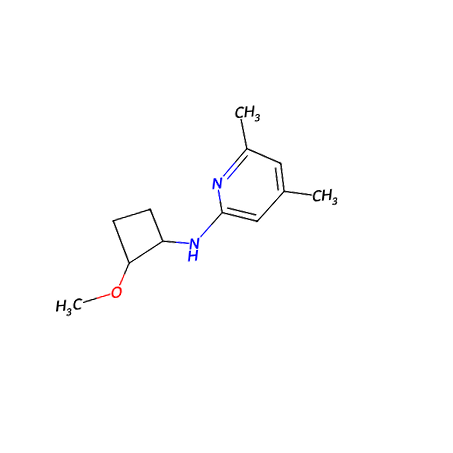 COC1CCC1Nc1cc(C)cc(C)n1